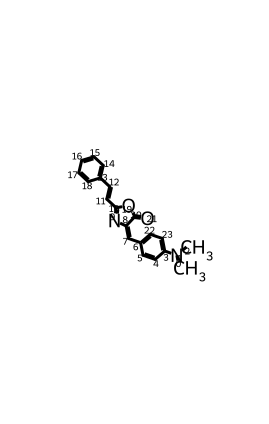 CN(C)c1ccc(C=C2N=C(C=Cc3ccccc3)OC2=O)cc1